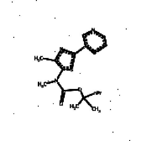 CCCC(C)(C)OC(=O)N(C)c1sc(-c2cccnc2)nc1C